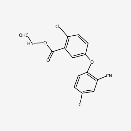 N#Cc1cc(Cl)ccc1Oc1ccc(Cl)c(C(=O)ONC=O)c1